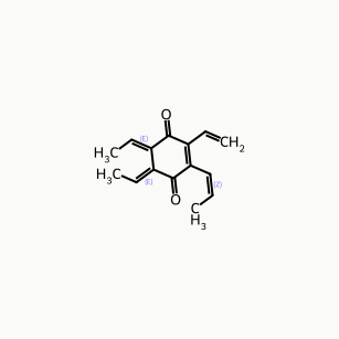 C=CC1=C(/C=C\C)C(=O)C(=C/C)/C(=C\C)C1=O